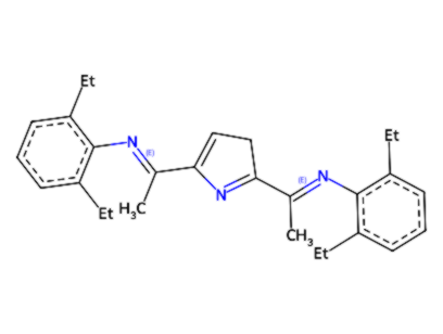 CCc1cccc(CC)c1/N=C(\C)C1=CCC(/C(C)=N/c2c(CC)cccc2CC)=N1